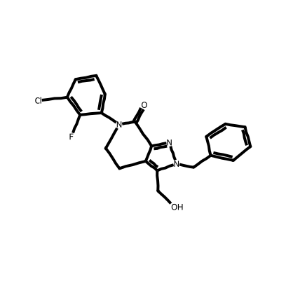 O=C1c2nn(Cc3ccccc3)c(CO)c2CCN1c1cccc(Cl)c1F